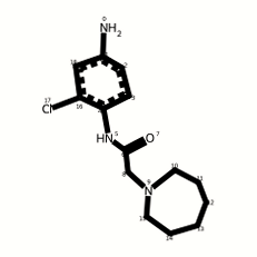 Nc1ccc(NC(=O)CN2CCCCCC2)c(Cl)c1